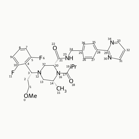 COCC[C@H](c1c(F)cccc1F)N1C[C@@H](C)N(C(=O)C(C)C)[C@@H](C(=O)NCc2ccc(-c3ncccn3)cc2)C1